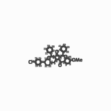 COc1ccc(C(=O)c2c(CN3CCC(c4ccc(Cl)cc4)CC3)n(C(=O)c3ccccc3)c(=O)n2C(=O)c2ccccc2)cc1